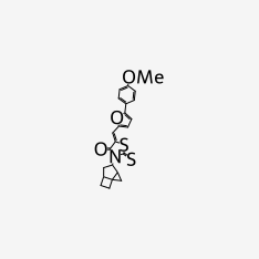 COc1ccc(-c2ccc(/C=C3\SC(=S)N(C4CC5CCC56CC46)C3=O)o2)cc1